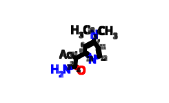 CC(=O)C(C(N)=O)c1cc(N(C)C)ccn1